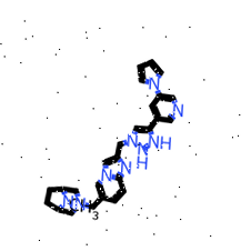 CN1C2CCC1CN(Cc1ccc3nc(CN4C=C(c5cncc(-n6cccc6)c5)NN4)cn3c1)C2